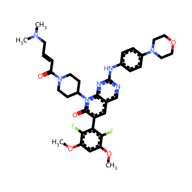 COc1cc(OC)c(F)c(-c2cc3cnc(Nc4ccc(N5CCOCC5)cc4)nc3n(C3CCN(C(=O)/C=C/CN(C)C)CC3)c2=O)c1F